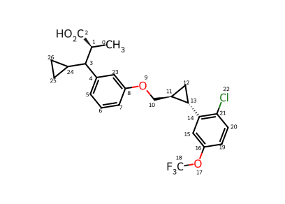 C[C@H](C(=O)O)C(c1cccc(OC[C@H]2C[C@@H]2c2cc(OC(F)(F)F)ccc2Cl)c1)C1CC1